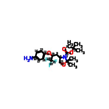 CC(C)(C)OC(=O)N1C(CC(Oc2ccc(N)cc2)C(F)(F)F)COC1(C)C